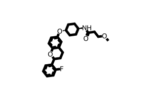 COCCC(=O)N[C@H]1CC[C@H](Oc2ccc3c(c2)CCC(c2ccccc2F)O3)CC1